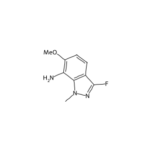 COc1ccc2c(F)nn(C)c2c1N